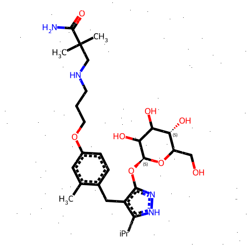 Cc1cc(OCCCNCC(C)(C)C(N)=O)ccc1Cc1c(O[C@@H]2OC(CO)[C@@H](O)C(O)C2O)n[nH]c1C(C)C